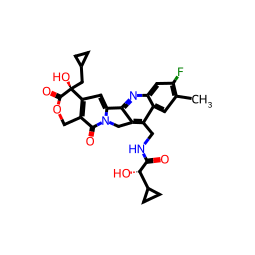 Cc1cc2c(CNC(=O)[C@@H](O)C3CC3)c3c(nc2cc1F)-c1cc2c(c(=O)n1C3)COC(=O)[C@]2(O)CC1CC1